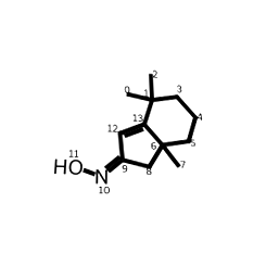 CC1(C)CCCC2(C)C/C(=N/O)C=C12